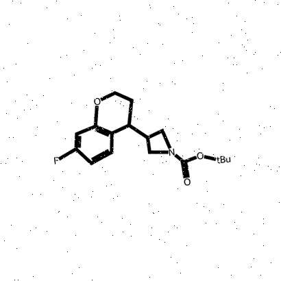 CC(C)(C)OC(=O)N1CC(C2CCOc3cc(F)ccc32)C1